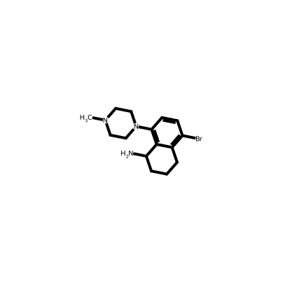 CN1CCN(c2ccc(Br)c3c2C(N)CCC3)CC1